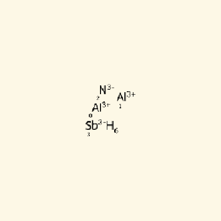 [Al+3].[Al+3].[N-3].[SbH6-3]